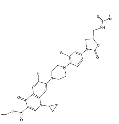 CCOC(=O)c1cn(C2CC2)c2cc(N3CCN(c4ccc(N5CC(CNC(=S)NC)OC5=O)cc4F)CC3)c(F)cc2c1=O